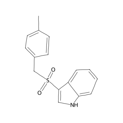 Cc1ccc(CS(=O)(=O)c2c[nH]c3ccccc23)cc1